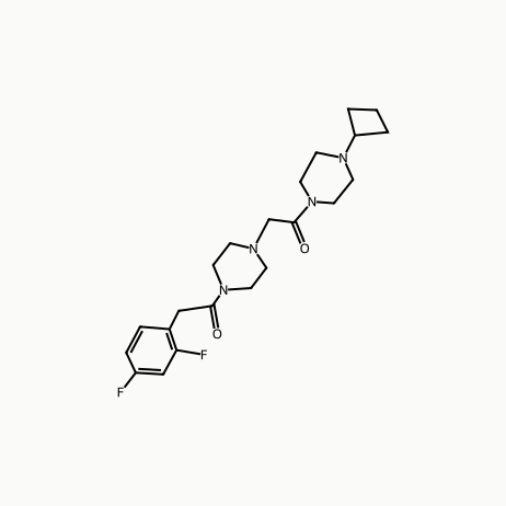 O=C(Cc1ccc(F)cc1F)N1CCN(CC(=O)N2CCN(C3CCC3)CC2)CC1